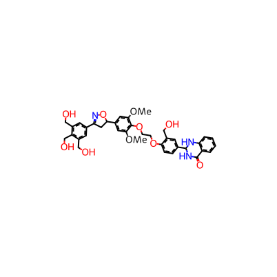 COc1cc(C2CC(c3cc(CO)c(CO)c(CO)c3)=NO2)cc(OC)c1OCCOc1ccc(C2NC(=O)c3ccccc3N2)cc1CO